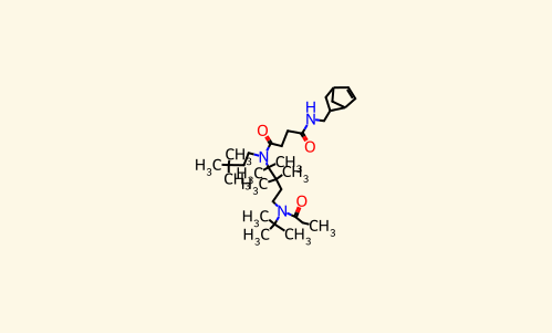 CCC(=O)N(CCC(C)(C)C(C)(C)N(CCC(C)(C)C)C(=O)CCC(=O)NCC1CC2C=CC1C2)C(C)(C)C